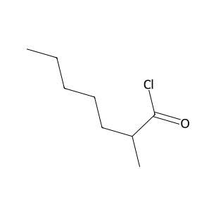 CCCCCC(C)C(=O)Cl